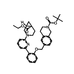 CCOC(=O)[C@@]12CCN(c3cccc(-c4ccccc4OCc4ccc5c(c4)CCN(C(=O)OC(C)(C)C)C5)n3)C[C@@H]1C2